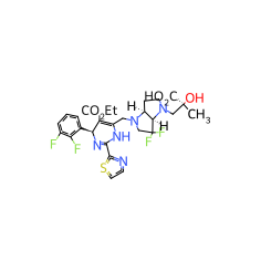 CCOC(=O)C1=C(CN2CC(F)(F)[C@H]3[C@@H]2CCN3C[C@](C)(O)C(=O)O)NC(c2nccs2)=N[C@H]1c1cccc(F)c1F